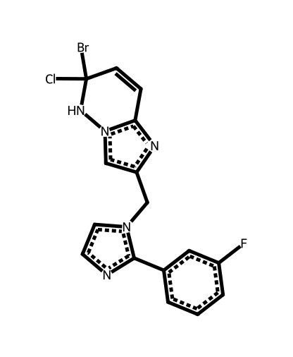 Fc1cccc(-c2nccn2Cc2cn3c(n2)C=CC(Cl)(Br)N3)c1